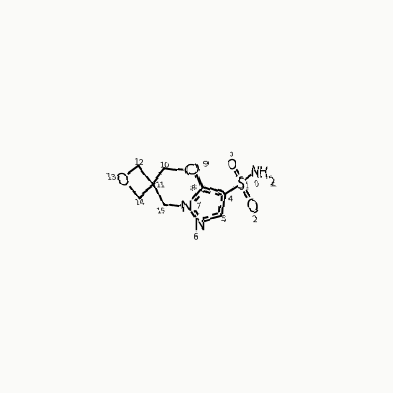 NS(=O)(=O)c1cnn2c1OCC1(COC1)C2